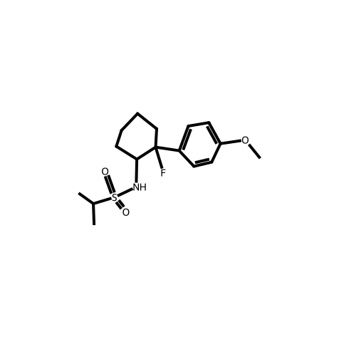 COc1ccc(C2(F)CCCCC2NS(=O)(=O)C(C)C)cc1